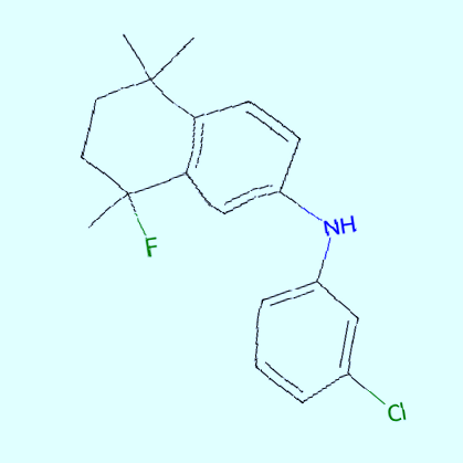 CC1(C)CCC(C)(F)c2cc(Nc3cccc(Cl)c3)ccc21